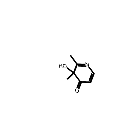 CC1=NC=CC(=O)C1(C)O